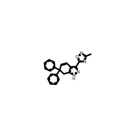 Cc1noc(-c2n[nH]c3c2C=CC(c2ccccc2)(c2ccccc2)C3)n1